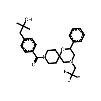 CC(C)(O)Cc1ccc(C(=O)N2CCC3(CC2)CN(CC(F)(F)F)CC(c2ccccc2)O3)cc1